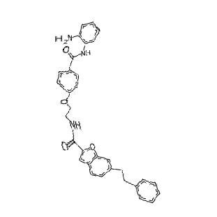 Nc1ccccc1NC(=O)c1ccc(OCCNC(=O)c2cc3ccc(CCc4ccccc4)cc3o2)cc1